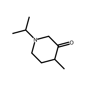 CC1CCN(C(C)C)CC1=O